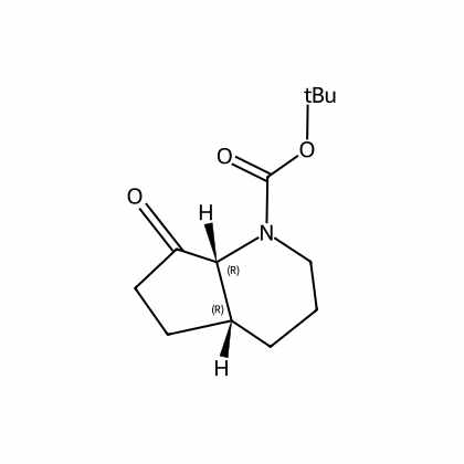 CC(C)(C)OC(=O)N1CCC[C@@H]2CCC(=O)[C@@H]21